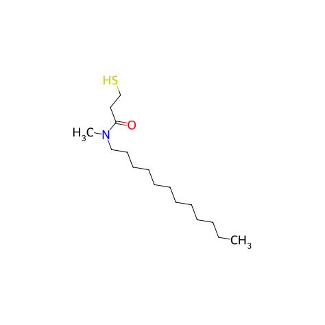 CCCCCCCCCCCCN(C)C(=O)CCS